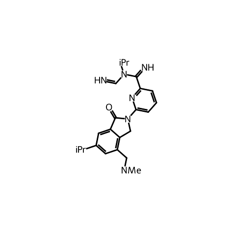 CNCc1cc(C(C)C)cc2c1CN(c1cccc(C(=N)N(C=N)C(C)C)n1)C2=O